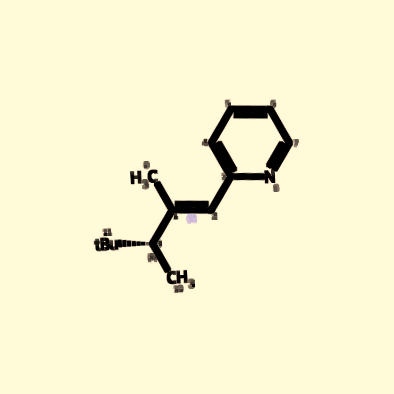 C/C(=C\c1ccccn1)[C@H](C)C(C)(C)C